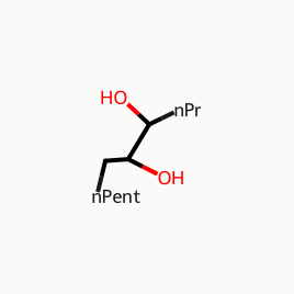 CCCCCCC(O)C(O)CCC